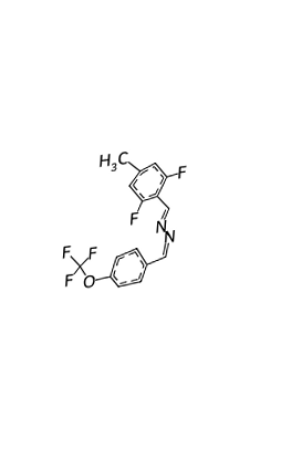 Cc1cc(F)c(/C=N/N=C\c2ccc(OC(F)(F)F)cc2)c(F)c1